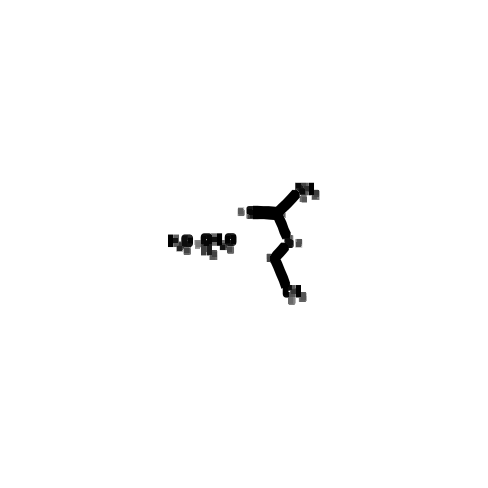 CCSC(N)=S.O.O.O